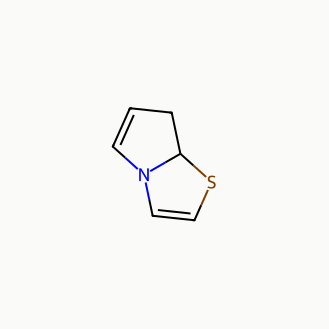 C1=CN2C=CSC2C1